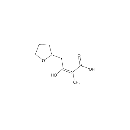 CC(C(=O)O)=C(O)CC1CCCO1